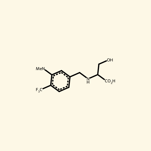 CNc1cc(CNC(CO)C(=O)O)ccc1C(F)(F)F